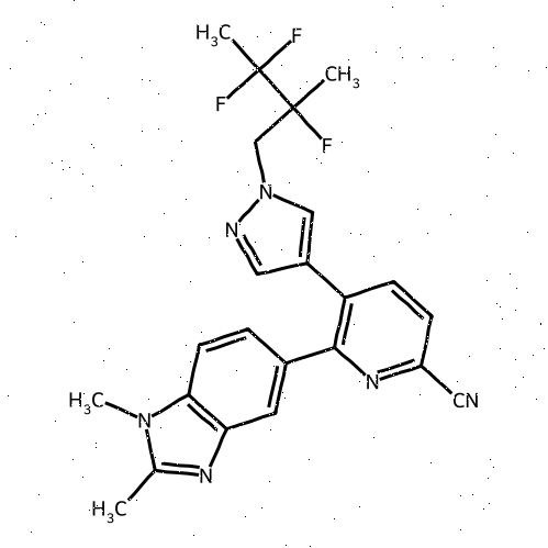 Cc1nc2cc(-c3nc(C#N)ccc3-c3cnn(CC(C)(F)C(C)(F)F)c3)ccc2n1C